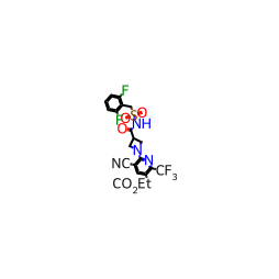 CCOC(=O)c1cc(C#N)c(N2CC(C(=O)NS(=O)(=O)Cc3c(F)cccc3F)C2)nc1C(F)(F)F